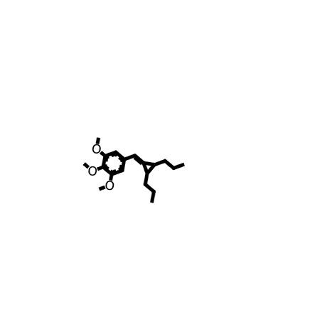 CCCC1C(=Cc2cc(OC)c(OC)c(OC)c2)C1CCC